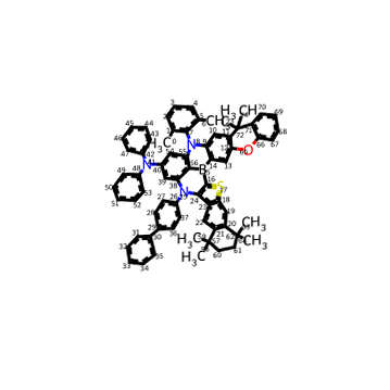 Cc1cccc(C)c1N1c2cc3c(cc2B2c4sc5cc6c(cc5c4N(c4ccc(-c5ccccc5)cc4)c4cc(N(c5ccccc5)c5ccccc5)cc1c42)C(C)(C)CCC6(C)C)Oc1ccccc1C3(C)C